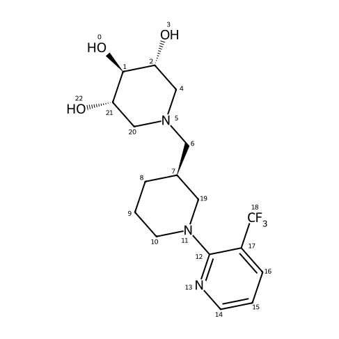 O[C@H]1[C@H](O)CN(C[C@@H]2CCCN(c3ncccc3C(F)(F)F)C2)C[C@@H]1O